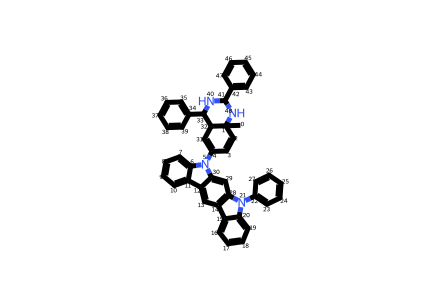 CC12C=CC(n3c4ccccc4c4cc5c6ccccc6n(-c6ccccc6)c5cc43)=CC1C(c1ccccc1)NC(c1ccccc1)N2